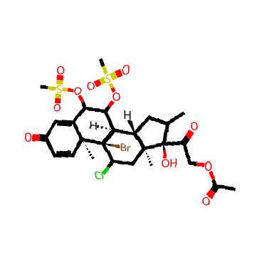 CC(=O)OCC(=O)[C@@]1(O)C(C)C[C@H]2[C@@H]3C(OS(C)(=O)=O)C(OS(C)(=O)=O)C4=CC(=O)C=C[C@]4(C)[C@@]3(Br)C(Cl)C[C@@]21C